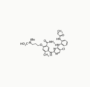 C=CC(=O)Nc1ccccc1Nc1nc(Nc2cc(C(N)=O)c(OCCCN(C(=O)O)C(C)(C)C)cc2C)ncc1Cl